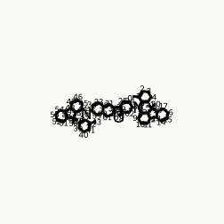 CC1=CCCC=C1N(C1=CC=CC2C3C=CCCC3C(C)(C)C12)C1C=Cc2c(oc3c2C=C2C=CC(N(C4=CCCC=C4C)C4CC=CC5C6=C(C=CCC6)C(C)(C)C54)CC2C3)C1